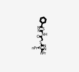 CCCc1nnc(SCC(=O)Nc2nnc(-c3ccccc3)s2)n1CCC